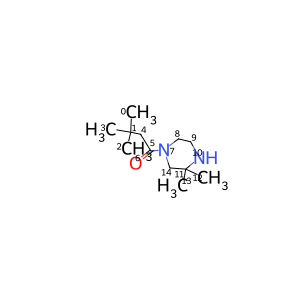 CC(C)(C)CC(=O)N1CCNC(C)(C)C1